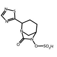 O=C1N2CC(CCC2c2ncns2)N1OS(=O)(=O)O